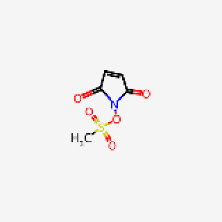 CS(=O)(=O)ON1C(=O)C=CC1=O